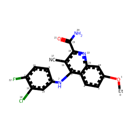 CCOc1[c]cc2c(Nc3ccc(F)c(Cl)c3)c(C#N)c(C(N)=O)nc2c1